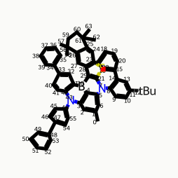 Cc1cc2c3c(c1)N(c1ccc(C(C)(C)C)cc1-c1ccccc1)c1sc4cc5c(cc4c1B3c1cc(-c3ccccc3)ccc1N2c1ccc(-c2ccccc2)cc1)C(C)(C)CCC5(C)C